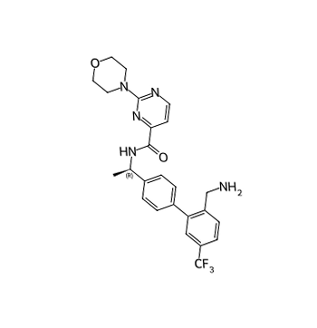 C[C@@H](NC(=O)c1ccnc(N2CCOCC2)n1)c1ccc(-c2cc(C(F)(F)F)ccc2CN)cc1